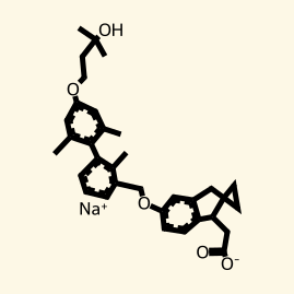 Cc1cc(OCCC(C)(C)O)cc(C)c1-c1cccc(COc2ccc3c(c2)CC2(CC2)C3CC(=O)[O-])c1C.[Na+]